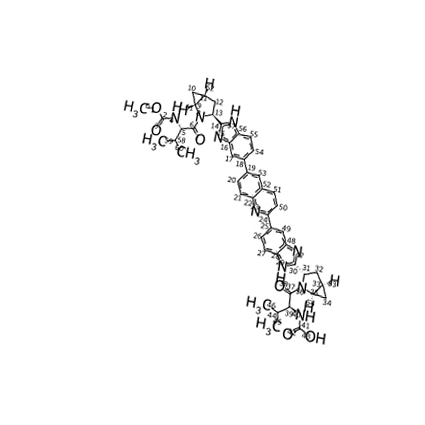 COC(=O)N[C@H](C(=O)N1[C@@H]2C[C@@H]2C[C@H]1c1nc2cc(-c3ccc4nc(-c5ccc6[nH]c([C@@H]7C[C@H]8C[C@H]8N7C(=O)[C@@H](NC(=O)O)C(C)C)nc6c5)ccc4c3)ccc2[nH]1)C(C)C